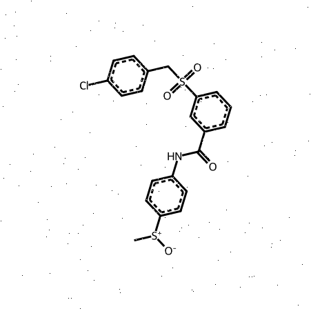 C[S+]([O-])c1ccc(NC(=O)c2cccc(S(=O)(=O)Cc3ccc(Cl)cc3)c2)cc1